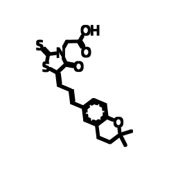 CC1(C)CCc2cc(C=CC=C3SC(=S)N(CC(=O)O)C3=O)ccc2O1